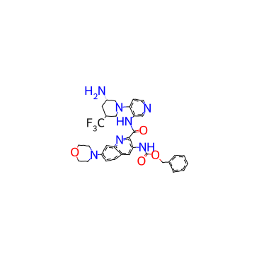 N[C@H]1CC(C(F)(F)F)CN(c2ccncc2NC(=O)c2nc3cc(N4CCOCC4)ccc3cc2NC(=O)OCc2ccccc2)C1